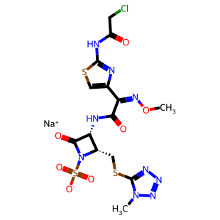 CO/N=C(\C(=O)N[C@H]1C(=O)N(S(=O)(=O)[O-])[C@H]1CSc1nnnn1C)c1csc(NC(=O)CCl)n1.[Na+]